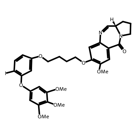 COc1cc2c(cc1OCCCCOc1ccc(I)c(Oc3cc(OC)c(OC)c(OC)c3)c1)N=C[C@@H]1CCCN1C2=O